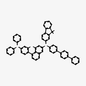 CC1(C)c2ccccc2-c2ccc(N(c3ccc(-c4ccc(-c5ccccc5)cc4)cc3)c3cc4c5c(cccc5c3)-c3ccc(N(c5ccccc5)c5ccccc5)cc3O4)cc21